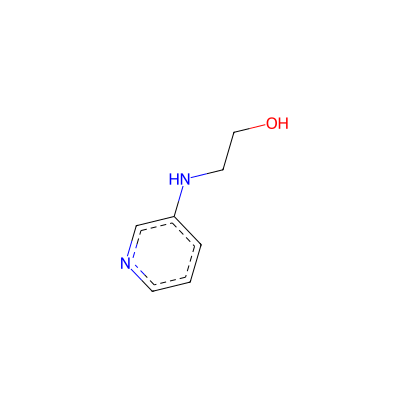 OCCNc1cccnc1